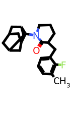 Cc1cccc(CC2CCCN(C3C4CC5CC(C4)CC3C5)C2=O)c1F